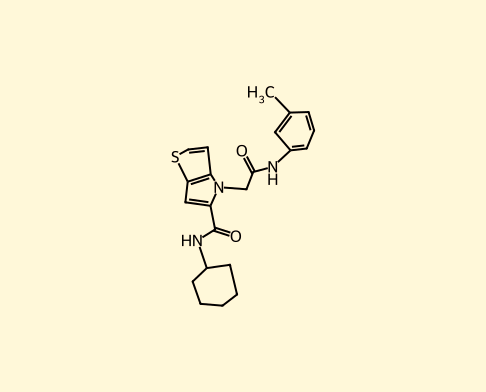 Cc1cccc(NC(=O)Cn2c(C(=O)NC3CCCCC3)cc3sccc32)c1